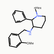 CCCCCCN1CCCC(NCc2ccccc2OC)C1c1ccccc1